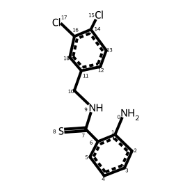 Nc1ccccc1C(=S)NCc1ccc(Cl)c(Cl)c1